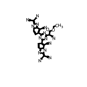 CCOC(=O)C(C#N)c1nc(-c2ccc3c(c2C#N)=NC(=C(C#N)C#N)N=3)nc(-c2ccc3c(c2C#N)=NC(=C(C#N)C#N)N=3)n1